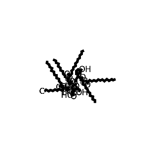 CCCCCCCCCCCCCC(=O)O[C@H](CCCCCCCCCCC)CC(=O)NC1[C@H](OCCN(C(=O)C[C@@H](CCCCCCCCCCC)OC(=O)CCCCCCCCCCCCC)c2cccc(O)c2)OC(CO)[C@@H](OP(=O)(O)O)[C@@H]1OC(=O)C[C@@H](CCCCCCCCCCC)OC(=O)CCCCCCCCCCCCC